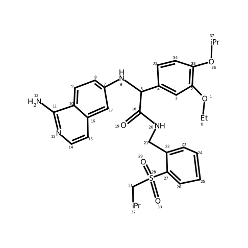 CCOc1cc(C(Nc2ccc3c(N)nccc3c2)C(=O)NCc2ccccc2S(=O)(=O)CC(C)C)ccc1OC(C)C